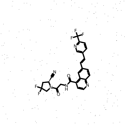 N#C[C@@H]1CC(F)(F)CN1C(=O)CNC(=O)c1ccnc2ccc(/C=C/c3ccc(C(F)(F)F)nc3)cc12